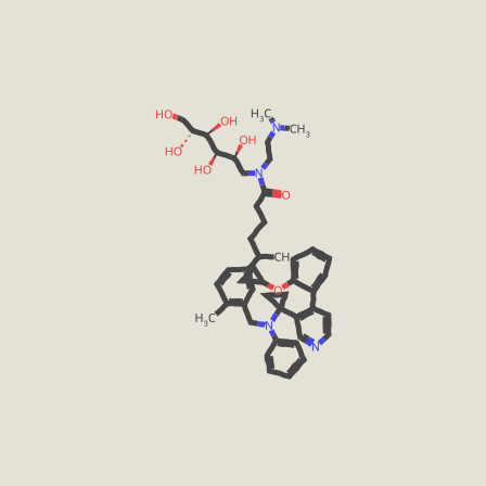 Cc1ccc(C(C)CCCC(=O)N(CCN(C)C)C[C@H](O)[C@@H](O)[C@H](O)[C@H](O)CO)cc1CN(c1ccccc1)C1(c2cnccc2-c2ccccc2OC2CC2)CC1